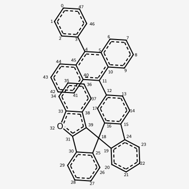 c1ccc(-c2c3ccccc3c(-c3ccc4c(c3)C3(c5ccccc5-4)c4ccccc4-c4oc5ccccc5c43)c3ccccc23)cc1